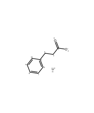 O=C([O-])CCc1ccccc1.[Li+]